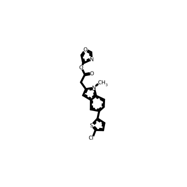 Cn1c(CC(=O)Oc2cocn2)cc2cc(-c3ccc(Cl)s3)ccc21